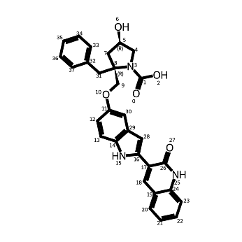 O=C(O)N1C[C@H](O)C[C@@]1(COc1ccc2[nH]c(-c3cc4ccccc4[nH]c3=O)cc2c1)Cc1ccccc1